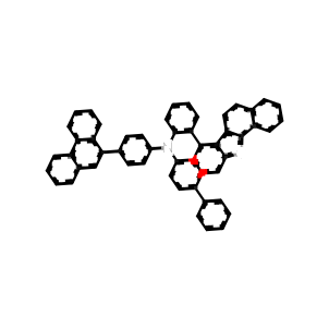 c1ccc(-c2ccc(N(c3ccc(-c4cc5ccccc5c5ccccc45)cc3)c3ccccc3-c3cccc4oc5c6ccccc6ccc5c34)cc2)cc1